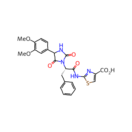 COc1ccc(C2NC(=O)N([C@@H](Cc3ccccc3)C(=O)Nc3nc(C(=O)O)cs3)C2=O)cc1OC